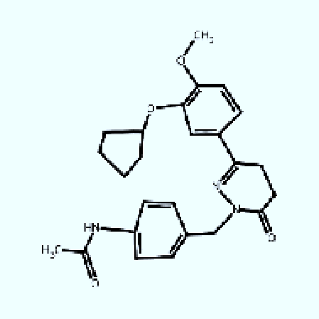 COc1ccc(C2=NN(Cc3ccc(NC(C)=O)cc3)C(=O)CC2)cc1OC1CCCC1